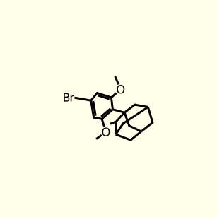 COc1cc(Br)cc(OC)c1C12CC3CC(CC(C3)C1C)C2